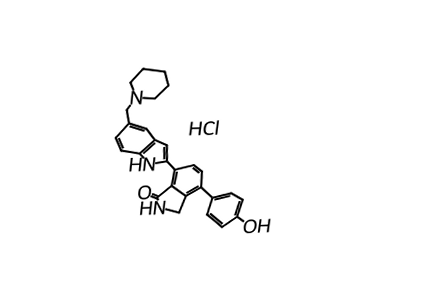 Cl.O=C1NCc2c(-c3ccc(O)cc3)ccc(-c3cc4cc(CN5CCCCC5)ccc4[nH]3)c21